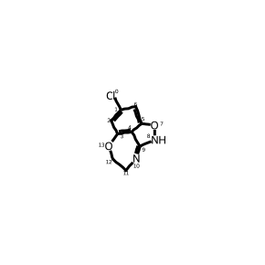 Clc1cc2c3c(c1)ONC3=NCCO2